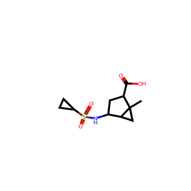 CC12CC1C(NS(=O)(=O)C1CC1)CC2C(=O)O